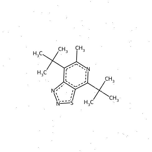 Cc1nc(C(C)(C)C)c2snnc2c1C(C)(C)C